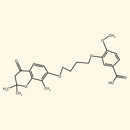 COc1ccc(C(=O)O)cc1OCCCCOc1ccc2c(c1C)OC(C)(C)CC2=O